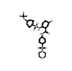 O=C(Nc1ccc(S(=O)(=O)N2CCOCC2)cc1)c1cc(Cl)ccc1NS(=O)(=O)c1ccc(OC(F)(F)F)cc1